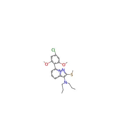 CCCN(CCC)c1c(SC)nn2c(-c3c(OC)cc(Cl)cc3OC)cccc12